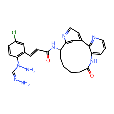 N/N=C\N(N)c1ccc(Cl)cc1/C=C/C(=O)N[C@H]1CCCCC(=O)Nc2cccnc2-c2ccnc1c2